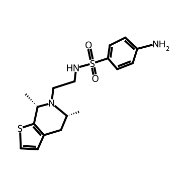 C[C@@H]1Cc2ccsc2[C@H](C)N1CCNS(=O)(=O)c1ccc(N)cc1